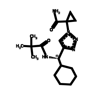 CC(C)(C)C(=O)N[C@H](c1cn(C2(C(N)=O)CC2)nn1)C1CCCCC1